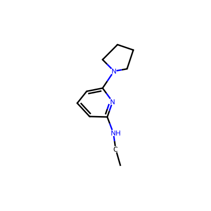 CCNc1cccc(N2CCCC2)n1